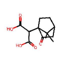 CC1(C)C2CCC1(C(C(=O)O)C(=O)O)C(=O)C2